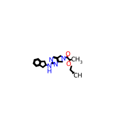 C#CCCOC(C)C(=O)N1Cc2cnc(NC3Cc4ccccc4C3)nc2C1